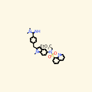 CCOC(=O)CN(c1ccc2c(c1)cc(Cc1ccc(C(=N)N(C)C)cc1)n2C)S(=O)(=O)c1cccc2cccnc12